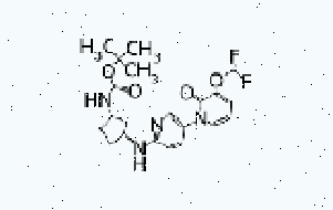 CC(C)(C)OC(=O)N[C@H]1CC[C@H](Nc2ccc(-n3cccc(OC(F)F)c3=O)cn2)C1